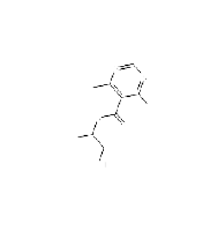 CC(CO)NC(=O)c1c(Cl)ncnc1Cl